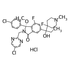 CCC(O)(c1cc(F)c2c(c1)C(=O)N(Cc1ncc(Cl)cn1)[C@@]2(OC)c1ccc(Cl)cc1)C1(F)CCN(C)CC1.Cl